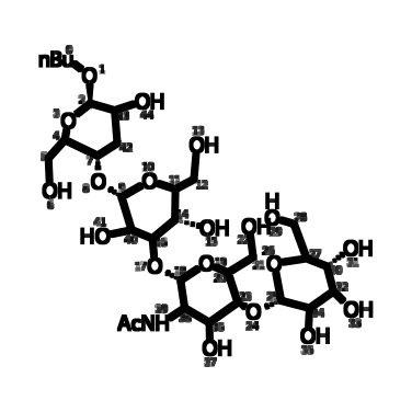 CCCCO[C@@H]1OC(CO)[C@@H](O[C@@H]2OC(CO)[C@H](O)C(O[C@@H]3OC(CO)[C@@H](O[C@@H]4OC(CO)[C@H](O)C(O)C4O)C(O)C3NC(C)=O)C2O)CC1O